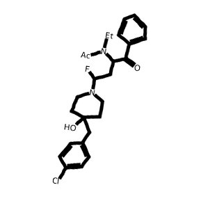 CCN(C(C)=O)C(CC(F)N1CCC(O)(Cc2ccc(Cl)cc2)CC1)C(=O)c1ccccc1